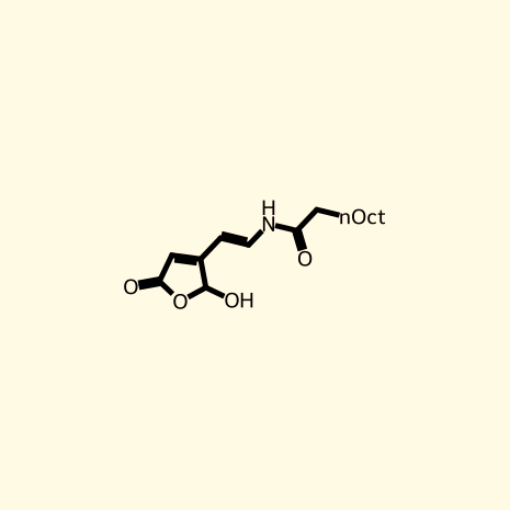 CCCCCCCCCC(=O)NC=CC1=CC(=O)OC1O